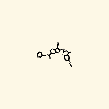 CCOc1cccc(C(C)CC(=O)Nc2sc3c(c2C#N)NCC(C(=O)OCc2cccnc2)C3)c1